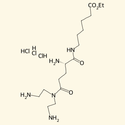 CCOC(=O)CCCCCNC(=O)[C@@H](N)CCC(=O)N(CCN)CCN.Cl.Cl.Cl